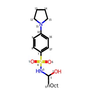 CCCCCCCCC(O)NS(=O)(=O)c1ccc(N2CCCC2)cc1